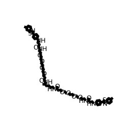 Cc1ccc2nc(-c3ccc(NCCC(=O)NCCOCCOCCOCCOCCC(=O)NCCCCC(C)NC(=O)CCOCCOCCOCCOCCNC(=O)CCNc4ccc(-c5nc6ccc(C)cc6s5)cc4)cc3)sc2c1